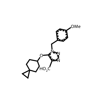 COc1ccc(Cn2nnc(C(=O)O)c2OC2CCC3(CC2)CC3)cc1